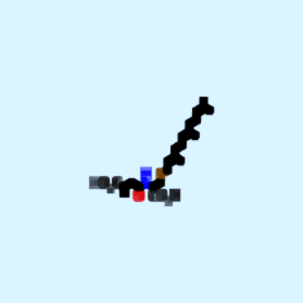 C=C(CC(=O)NC(CSC/C=C(\C)CC/C=C(\C)CCC=C(C)C)C(=O)O)C(=O)O